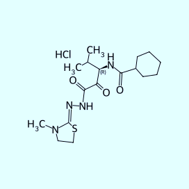 CC(C)[C@@H](NC(=O)C1CCCCC1)C(=O)C(=O)NN=C1SCCN1C.Cl